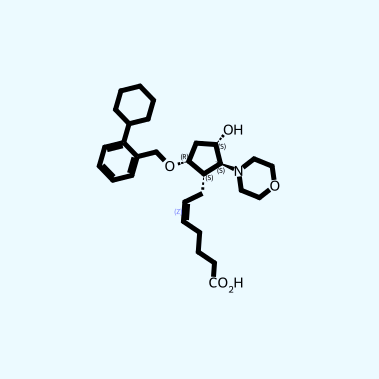 O=C(O)CCC/C=C\C[C@H]1[C@H](N2CCOCC2)[C@@H](O)C[C@H]1OCc1ccccc1C1CCCCC1